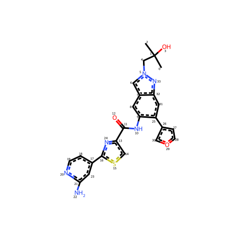 CC(C)(O)Cn1cc2cc(NC(=O)c3csc(-c4ccnc(N)c4)n3)c(-c3ccoc3)cc2n1